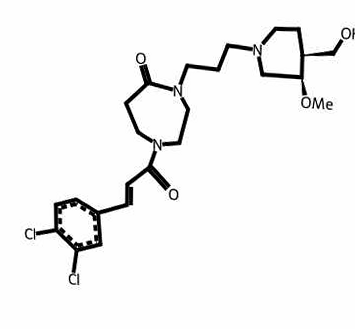 CO[C@H]1CN(CCCN2CCN(C(=O)/C=C/c3ccc(Cl)c(Cl)c3)CCC2=O)CC[C@H]1CO